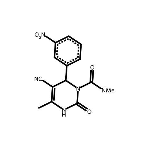 CNC(=O)N1C(=O)NC(C)=C(C#N)C1c1cccc([N+](=O)[O-])c1